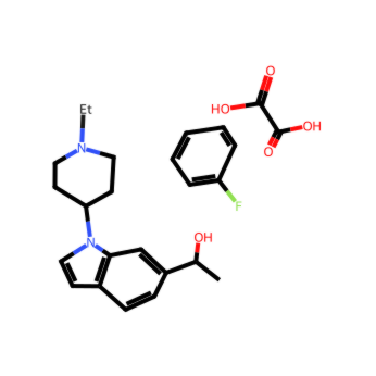 CCN1CCC(n2ccc3ccc(C(C)O)cc32)CC1.Fc1ccccc1.O=C(O)C(=O)O